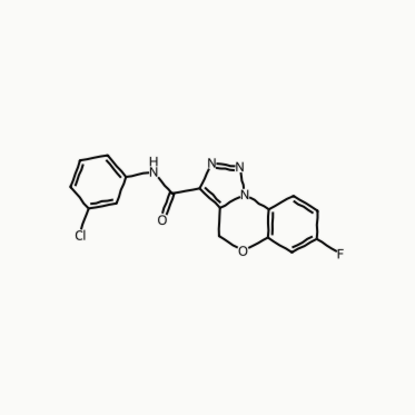 O=C(Nc1cccc(Cl)c1)c1nnn2c1COc1cc(F)ccc1-2